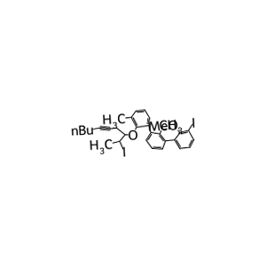 CCCCC#CCC(Oc1c(C)cccc1-c1cccc(-c2cccc(I)c2OC)c1C)C(C)I